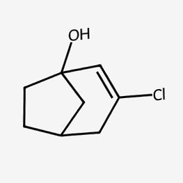 OC12C=C(Cl)CC(CC1)C2